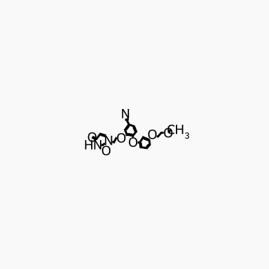 COCCOc1cccc(Oc2ccc(C#N)cc2OCCn2ccc(=O)[nH]c2=O)c1